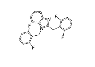 Fc1cccc(F)c1Cc1nc2ccccc2n1Cc1c(F)cccc1F